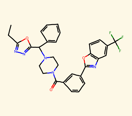 CCc1nnc(C(c2ccccc2)N2CCN(C(=O)c3cccc(-c4nc5cc(C(F)(F)F)ccc5o4)c3)CC2)o1